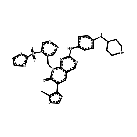 Cc1scnc1-c1cc2cnc(Nc3ccc(NC4CCNCC4)cc3)nc2n(Cc2cnncc2S(=O)(=O)c2nccs2)c1=O